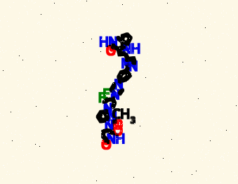 Cn1c(=O)n(C2CCC(=O)NC2=O)c2cccc(N3CC[C@H](N4CCN(c5ccc(-c6nccc(-c7cc8c([nH]7)C7(CCCC7)CNC8=O)n6)cc5)CC4)C(F)(F)C3)c21